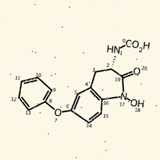 O=C(O)N[C@H]1Cc2cc(Oc3ccccc3)ccc2N(O)C1=O